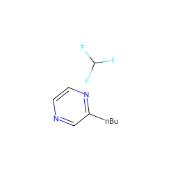 CCCCc1cnccn1.FC(F)F